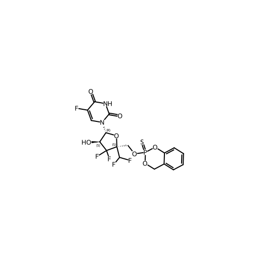 O=c1[nH]c(=O)n([C@@H]2O[C@@](COP3(=S)OCc4ccccc4O3)(C(F)F)C(F)(F)[C@H]2O)cc1F